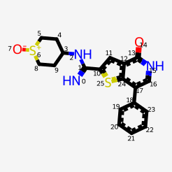 N=C(NC1CC[S+]([O-])CC1)c1cc2c(=O)[nH]cc(-c3ccccc3)c2s1